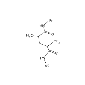 CCNC(=O)C(C)CC(C)C(=O)NC(C)C